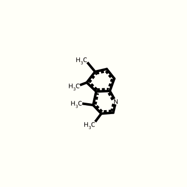 Cc1ccc2ncc(C)c(C)c2c1C